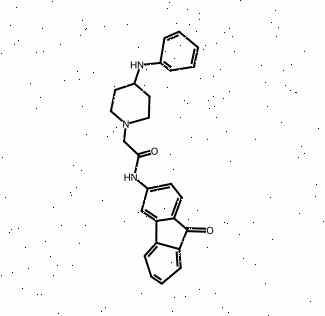 O=C(CN1CCC(Nc2ccccc2)CC1)Nc1ccc2c(c1)-c1ccccc1C2=O